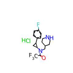 Cl.O=C(N(CC1CCNCC1)C1CC1c1ccc(F)cc1)C(F)(F)F